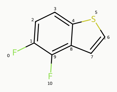 Fc1ccc2s[c]cc2c1F